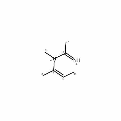 C/C=C(/C)N(C)C(C)=N